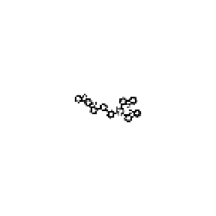 c1cc(-c2cccc(-c3cccc4c3oc3cc5oc6ccccc6c5cc34)c2)cc(-c2nc(-c3cccc4c3oc3ccccc34)nc(-c3cccc4c3oc3ccccc34)n2)c1